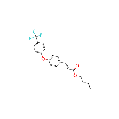 CCCCOC(=O)C=Cc1ccc(Oc2ccc(C(F)(F)F)cc2)cc1